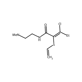 C=CS/C(C(=O)NCCNC)=C(/Cl)CC